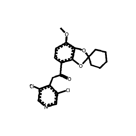 COc1ccc(C(=O)Cc2c(Cl)cncc2Cl)c2c1OC1(CCCCC1)O2